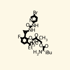 CCC(=O)c1ccc(F)c(C2CC2NC(=O)Nc2ccc(Br)cn2)c1OC(O)C(=O)C(C)(C)COC(=O)[C@@H](N)[C@@H](C)CC